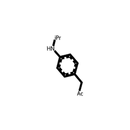 CC(=O)Cc1ccc(NC(C)C)cc1